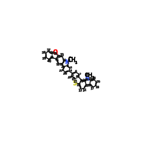 Cn1c2cc(-c3ccc4c(c3)sc3ccc5c6ccccc6n(C)c5c34)ccc2c2cc3c(cc21)oc1ccccc13